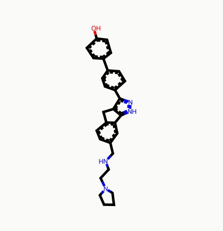 Oc1ccc(-c2ccc(-c3n[nH]c4c3Cc3ccc(CNCCN5CCCC5)cc3-4)cc2)cc1